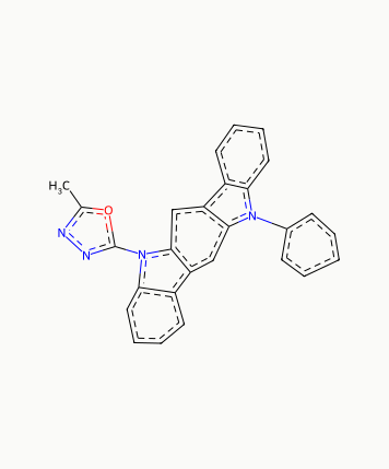 Cc1nnc(-n2c3ccccc3c3cc4c(cc32)c2ccccc2n4-c2ccccc2)o1